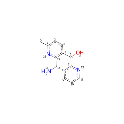 Cc1ccc([C](O)c2ccccn2)c(CN)n1